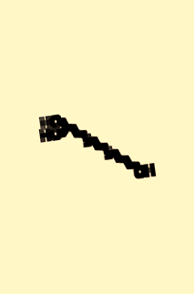 OCCCCCSCCCSCCCC(CO)CO